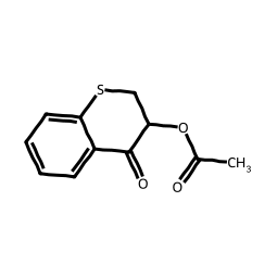 CC(=O)OC1CSc2ccccc2C1=O